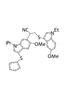 CCn1cc(SCC(C#N)c2cc3c(cc2OC)c(Sc2ccccc2)cn3C(C)C)c2cc(OC)ccc21